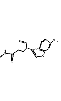 CNC(=O)CCC(C=O)c1noc2cc(N)ccc12